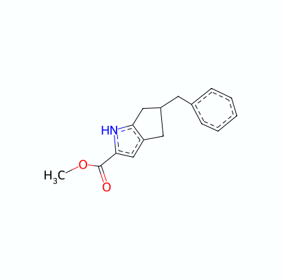 COC(=O)c1cc2c([nH]1)CC(Cc1ccccc1)C2